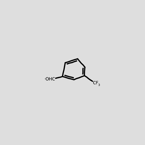 O=[C]c1cccc(C(F)(F)F)c1